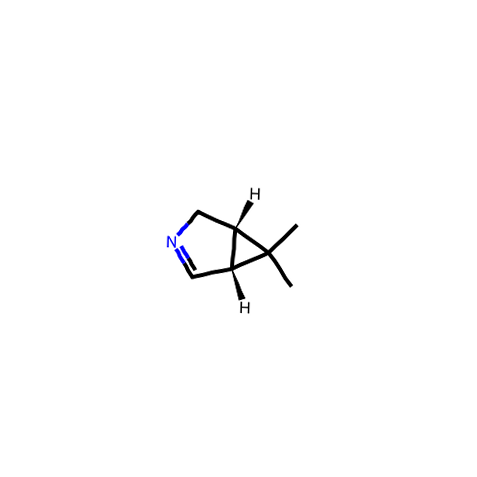 CC1(C)[C@@H]2C=NC[C@@H]21